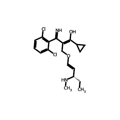 CC[C@@H](/C=C/OC/C(C(=N)c1c(Cl)cccc1Cl)=C(/O)C1CC1)NC